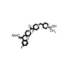 CO/N=C1\CC2(CCN(C(=O)C3(F)CCN(CC4CCN(B(C)O)CC4)CC3)CC2)Oc2ccc(F)cc21